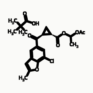 CC(=O)OC(C)OC(=O)[C@H]1C[C@@H]1C(=O)c1cc(Cl)c2oc(C)cc2c1.CC(C)(C)C(=O)O